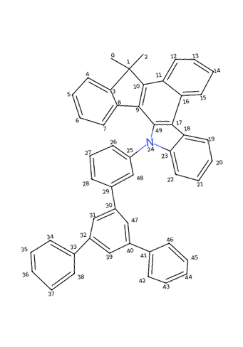 CC1(C)c2ccccc2-c2c1c1ccccc1c1c3ccccc3n(-c3cccc(-c4cc(-c5ccccc5)cc(-c5ccccc5)c4)c3)c21